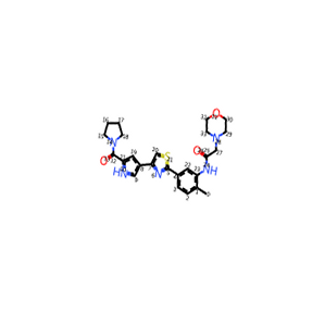 Cc1ccc(-c2nc(-c3c[nH]c(C(=O)N4CCCC4)c3)cs2)cc1NC(=O)CN1CCOCC1